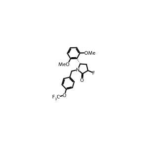 COc1cccc(OC)c1[C@@H]1CC(F)C(=O)N1Cc1ccc(OC(F)(F)F)cc1